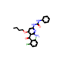 CCCCOc1cc(NC(=O)Nc2ccccc2)nc(N)c1C(=O)c1c(F)cccc1F